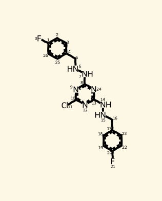 Fc1ccc(CNNc2nc(Cl)nc(NNCc3ccc(F)cc3)n2)cc1